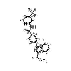 Cc1nccn2c([C@H](C)N)nc(-c3ccc(C(=O)Nc4cc(C(F)(F)F)ccn4)cc3)c12